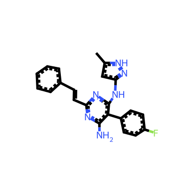 Cc1cc(Nc2nc(C=Cc3ccccc3)nc(N)c2-c2ccc(F)cc2)n[nH]1